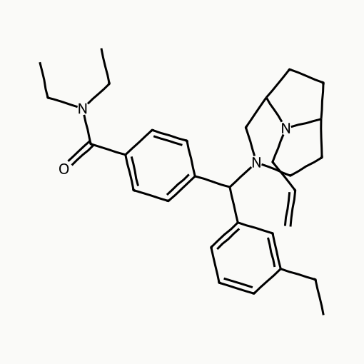 C=CCN1C2CCC1CN(C(c1ccc(C(=O)N(CC)CC)cc1)c1cccc(CC)c1)CC2